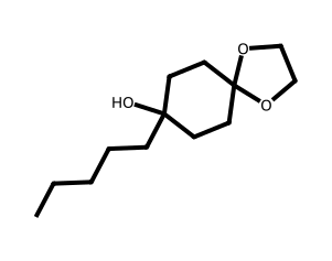 CCCCCC1(O)CCC2(CC1)OCCO2